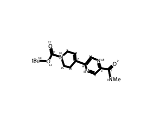 CNC(=O)c1cnc(C2=CCN(C(=O)OC(C)(C)C)CC2)cn1